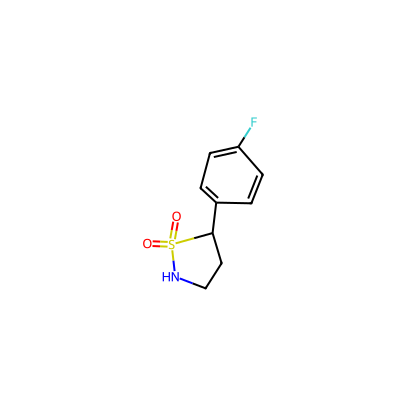 O=S1(=O)NCCC1c1ccc(F)cc1